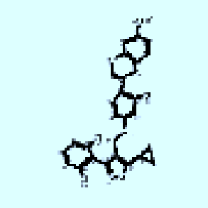 O=Cc1ccc2c(c1)OCC(c1ccc(OCc3c(-c4c(Cl)cccc4Cl)noc3C3CC3)cc1Cl)C2